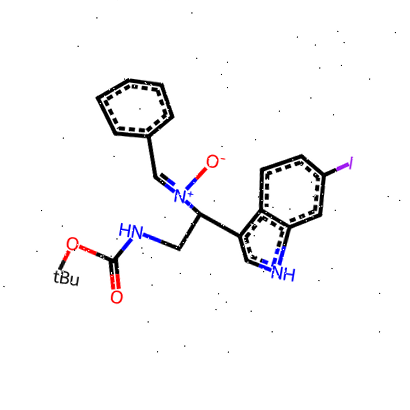 CC(C)(C)OC(=O)NCC(c1c[nH]c2cc(I)ccc12)/[N+]([O-])=C/c1ccccc1